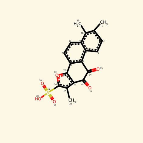 Cc1ccc2c3c(ccc2c1C)-c1oc(S(=O)(=O)O)c(C)c1C(=O)C3=O